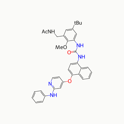 COc1c(CNC(C)=O)cc(C(C)(C)C)cc1NC(=O)Nc1ccc(Oc2ccnc(Nc3ccccc3)c2)c2ccccc12